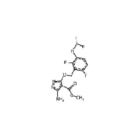 COC(=O)c1c(OCc2c(F)ccc(OC(F)F)c2F)nsc1N